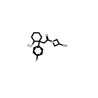 CC1CCCCC1(CC(=O)N1CC(O)C1)c1ccc(F)cc1